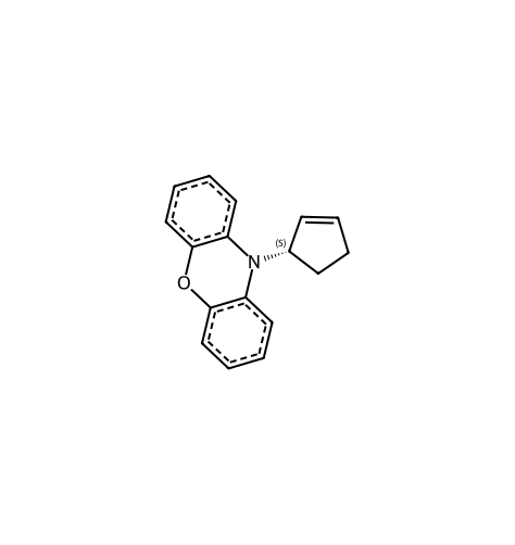 C1=C[C@@H](N2c3ccccc3Oc3ccccc32)CC1